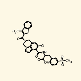 CC1=C(C(=O)N2Cc3cc(Cl)c(C(=O)NC(Cc4cccc(S(C)(=O)=O)c4)C(=O)O)c4ccn(c34)C2)Cc2ccccc21